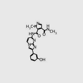 CNC(=O)c1cnn(C)c1C(=O)Nc1ccn2cc(-c3cccc(O)c3)nc2n1